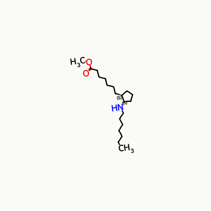 CCCCCCCN[C@H]1CCC[C@@H]1CCCCCCC(=O)OC